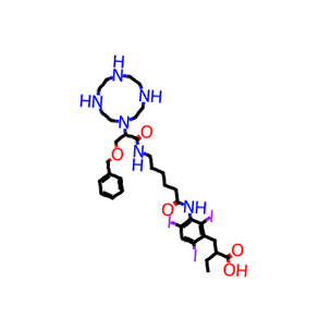 CCC(Cc1c(I)cc(I)c(NC(=O)CCCCCNC(=O)C(COCc2ccccc2)N2CCNCCNCCNCC2)c1I)C(=O)O